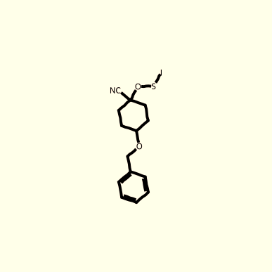 N#CC1(OSI)CCC(OCc2ccccc2)CC1